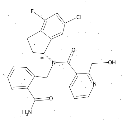 NC(=O)c1ccccc1CN(C(=O)c1cccnc1CO)[C@@H]1CCc2c(F)cc(Cl)cc21